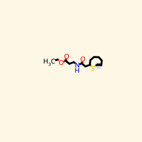 CCOC(=O)CCNC(=O)CC1CCCC/C=C/S1